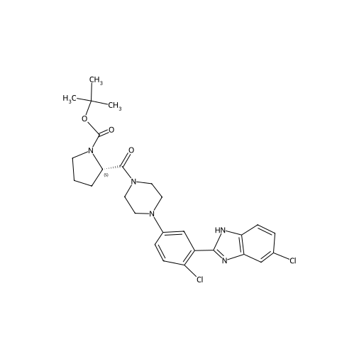 CC(C)(C)OC(=O)N1CCC[C@H]1C(=O)N1CCN(c2ccc(Cl)c(-c3nc4cc(Cl)ccc4[nH]3)c2)CC1